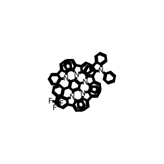 FC(F)(F)c1cccc(-c2c(-n3c4ccccc4c4ccccc43)c(-n3c4ccccc4c4ccccc43)c(-n3c4ccccc4c4c3ccc3c5ccccc5n(-c5ccccc5)c34)c(-n3c4ccccc4c4ccccc43)c2-n2c3ccccc3c3ccccc32)c1